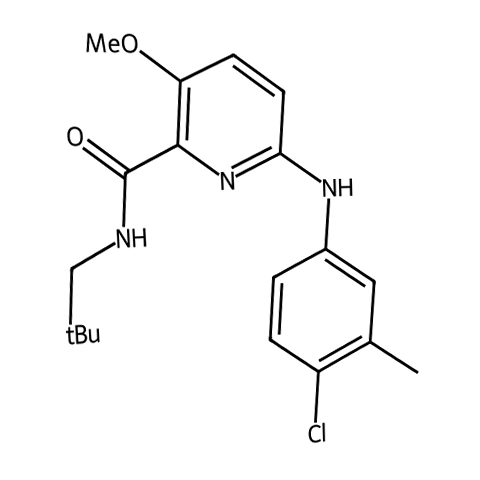 COc1ccc(Nc2ccc(Cl)c(C)c2)nc1C(=O)NCC(C)(C)C